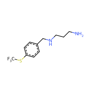 NCCCNCc1ccc(SC(F)(F)F)cc1